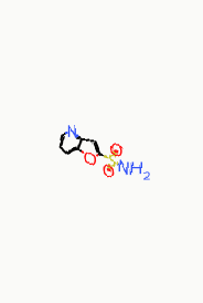 NS(=O)(=O)c1cc2ncccc2o1